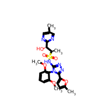 COc1cccc(OC)c1-n1c(NS(=O)(=O)[C@H](C)[C@H](O)c2ncc(C)cn2)nnc1-c1ccc(C)o1